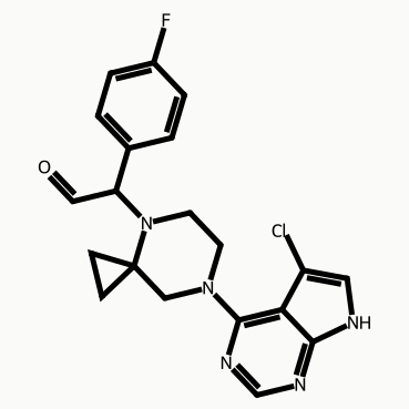 O=CC(c1ccc(F)cc1)N1CCN(c2ncnc3[nH]cc(Cl)c23)CC12CC2